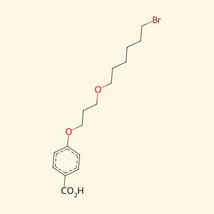 O=C(O)c1ccc(OCCCOCCCCCCBr)cc1